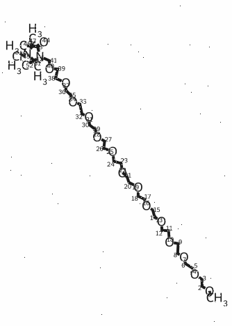 COCCOCCOCCOCCOCCOCCOCCOCCOCCOCCOCCOCCOCCOCN1C(=O)C(C)(C)N(Cl)C1(C)C